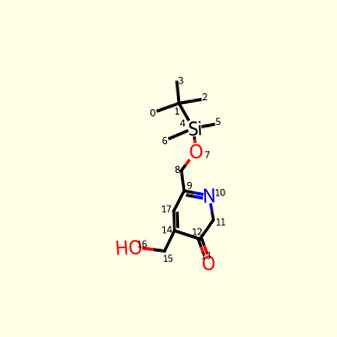 CC(C)(C)[Si](C)(C)OCC1=NCC(=O)C(CO)=C1